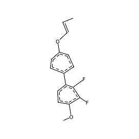 C/C=C/Oc1ccc(-c2ccc(OC)c(F)c2F)cc1